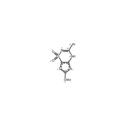 COc1nc2c(s1)S(=O)(=O)N=C(C(C)C)N2